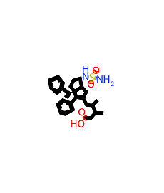 C=C(c1ccccc1)[C@@]12CC[C@H](NS(N)(=O)=O)C1CC(CC(C)C(C)CC(=O)O)=C2c1ccccc1